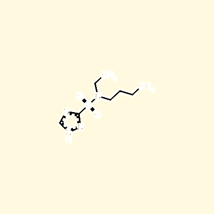 CCCCN(CC)S(=O)(=O)c1nc[nH]n1